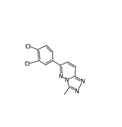 Cc1nnc2ccc(-c3ccc(Cl)c(Cl)c3)nn12